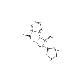 CN1CC2CN(c3ccccc3)C(=O)N2c2ccccc21